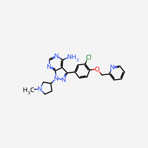 CN1CCC(n2nc(-c3ccc(OCc4ccccn4)c(Cl)c3)c3c(N)ncnc32)C1